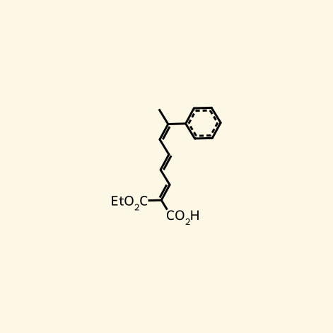 CCOC(=O)\C(=C/C=C/C=C(/C)c1ccccc1)C(=O)O